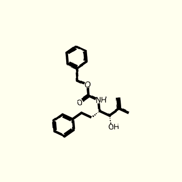 C=C(C)[C@H](O)[C@H](CCc1ccccc1)NC(=O)OCc1ccccc1